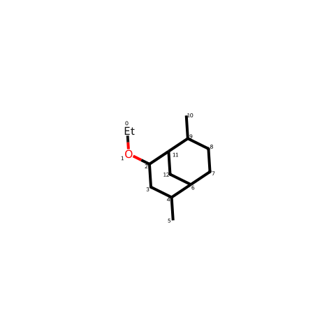 CCOC1CC(C)C2CCC(C)C1C2